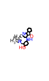 CCN(CC)Cc1cc(Nc2cc(C)nc3c2C(=O)c2ccccc2-3)ccc1O